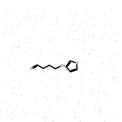 CCCCC=O.c1ccoc1